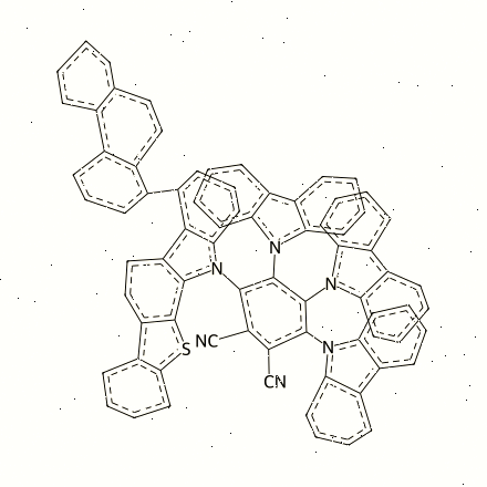 N#Cc1c(C#N)c(-n2c3cccc(-c4cccc5c4ccc4ccccc45)c3c3ccc4c5ccccc5sc4c32)c(-n2c3ccccc3c3ccccc32)c(-n2c3ccccc3c3ccccc32)c1-n1c2ccccc2c2ccccc21